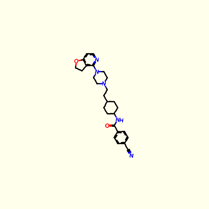 N#Cc1ccc(C(=O)NC2CCC(CCN3CCN(c4nccc5c4CCO5)CC3)CC2)cc1